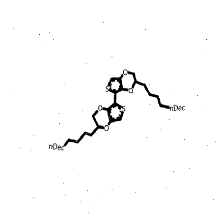 CCCCCCCCCCCCCCC1COc2c(csc2-c2scc3c2OC(CCCCCCCCCCCCCC)CO3)O1